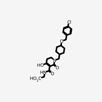 O=C(O)CNC(=O)C1=C(O)CCN(CC2CCC(OCc3ccc(Cl)cc3)CC2)C1=O